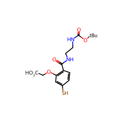 CC(C)(C)OC(=O)NCCNC(=O)c1ccc(S)cc1OCC(=O)O